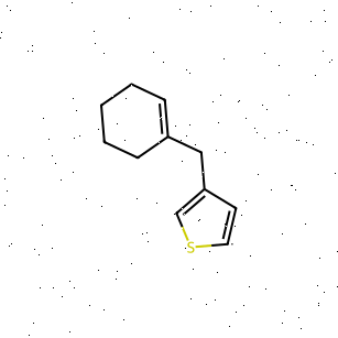 [c]1cc(CC2=CCCCC2)cs1